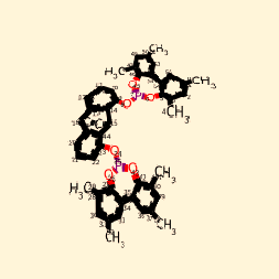 Cc1cc(C)c2op(Oc3cccc4c3C3CCC4c4cccc(Op5oc6c(C)cc(C)cc6c6cc(C)cc(C)c6o5)c43)oc3c(C)cc(C)cc3c2c1